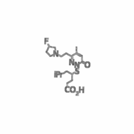 Cc1cc(=O)n(SC(CCC(=O)O)CC(C)C)nc1CCN1CCC(F)C1